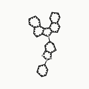 c1ccc(-n2nc3ccc(-n4c5ccc6ccccc6c5c5c6ccccc6ccc54)cc3n2)cc1